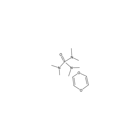 C1=COC=CO1.CN(C)P(=O)(N(C)C)N(C)C